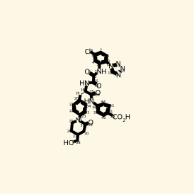 O=C(Nc1cc(Cl)ccc1-n1cnnn1)C(=O)N[C@@H](Cc1ccc(N2CCC(CO)CC2=O)cc1)C(=O)Nc1ccc(C(=O)O)cc1